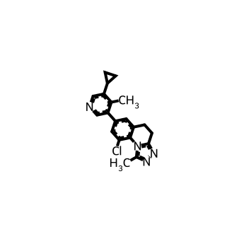 Cc1c(-c2cc(Cl)c3c(c2)CCc2nnc(C)n2-3)cncc1C1CC1